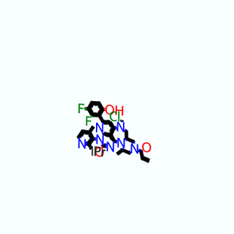 C=CC(=O)N1CC(C)N2c3nc(=O)n(-c4c(C)ccnc4C(C)C)c4nc(-c5c(O)ccc(F)c5F)c(Cl)c(c34)N(C)CC2C1